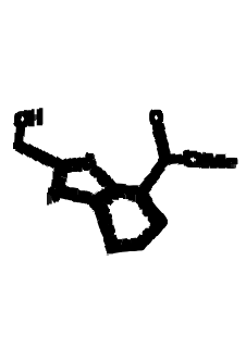 COC(=O)c1cccc2nc(CO)sc12